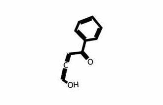 O=C(C=C=CO)c1ccccc1